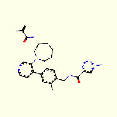 C=C(C)C(=O)N[C@@H]1CCCCN(c2cnccc2-c2ccc(CNC(=O)c3cn(C(C)(C)C)nn3)c(C)c2)C1